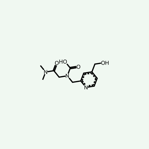 CN(C)C(=O)CN(Cc1cc(CO)ccn1)C(=O)O